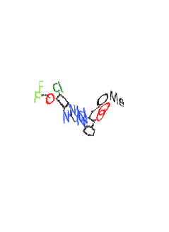 COC(=O)Cc1nn(Cc2nc3cc(OCC(F)F)c(Cl)cc3[nH]2)c2ccccc2c1=O